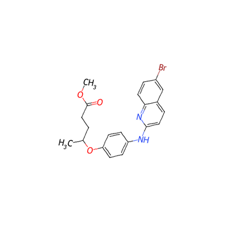 COC(=O)CCC(C)Oc1ccc(Nc2ccc3cc(Br)ccc3n2)cc1